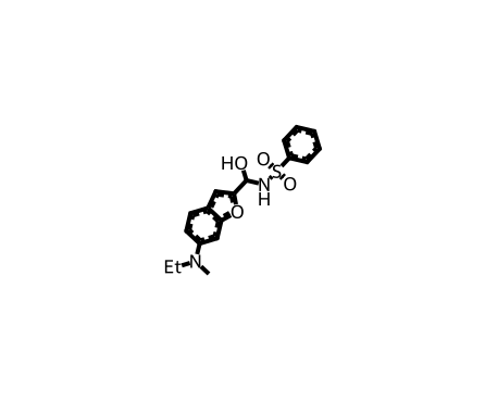 CCN(C)c1ccc2cc(C(O)NS(=O)(=O)c3ccccc3)oc2c1